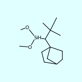 CO[SiH](OC)C(C(C)(C)C)C12CCC(CC1)C2